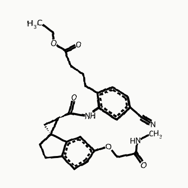 CCOC(=O)CCCc1ccc(C#N)cc1NC(=O)[C@@H]1C[C@]12CCc1ccc(OCC(=O)NC)cc12